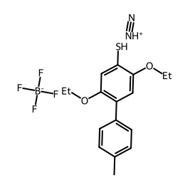 CCOc1cc(-c2ccc(C)cc2)c(OCC)cc1S.F[B-](F)(F)F.N#[NH+]